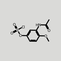 COc1ccc(OS(=O)(=O)Cl)cc1NC(C)=O